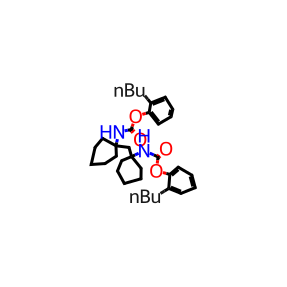 CCCCc1ccccc1OC(=O)NC1(CC2(NC(=O)Oc3ccccc3CCCC)CCCCC2)CCCCC1